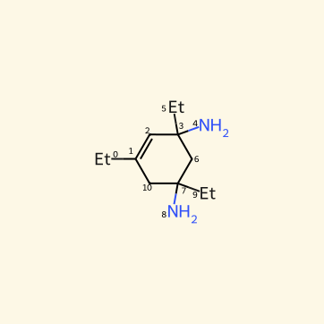 CCC1=CC(N)(CC)CC(N)(CC)C1